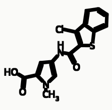 Cn1cc(NC(=O)c2sc3ccccc3c2Cl)cc1C(=O)O